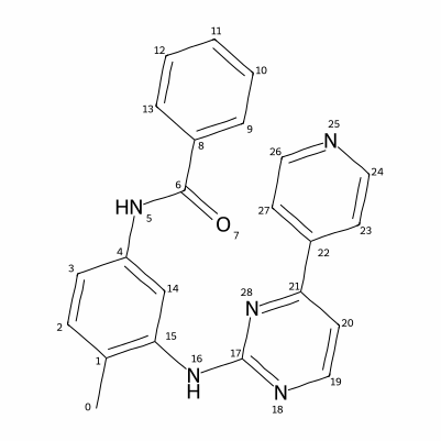 Cc1ccc(NC(=O)c2ccccc2)cc1Nc1nccc(-c2ccncc2)n1